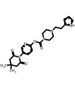 CC1(C)CC(=O)N(c2ccc(OC(=O)N3CCN(CCc4ccc[nH]4)CC3)nc2)C(=O)C1